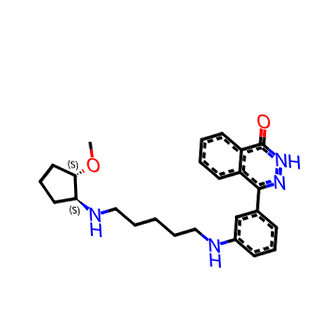 CO[C@H]1CCC[C@@H]1NCCCCCNc1cccc(-c2n[nH]c(=O)c3ccccc23)c1